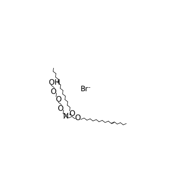 CCCCC=CCCCCCCCCCCOCC(C[N+](C)(C)CCOCCOCCOCCO)OCCCCCCCCCCC=CCCCC.[Br-]